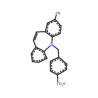 N#Cc1ccc2c(c1)C=Cc1ccccc1N2Cc1ccc(C(=O)O)cc1